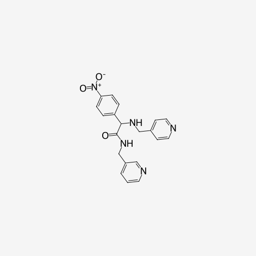 O=C(NCc1cccnc1)C(NCc1ccncc1)c1ccc([N+](=O)[O-])cc1